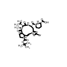 CC(C)[C@H]1C(=O)N[C@H](C(=O)N2CCC[C@@H](C(=O)O)N2)Cc2nc(Br)nn2/C=C/[C@@H]2[C@H](CCN2C(=O)OC(C)(C)C)C(=O)N1C